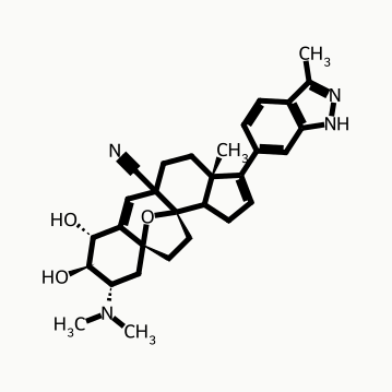 Cc1n[nH]c2cc(C3=CCC4[C@@]56CC[C@]7(C[C@H](N(C)C)[C@@H](O)[C@H](O)C7=CC5(C#N)CC[C@]34C)O6)ccc12